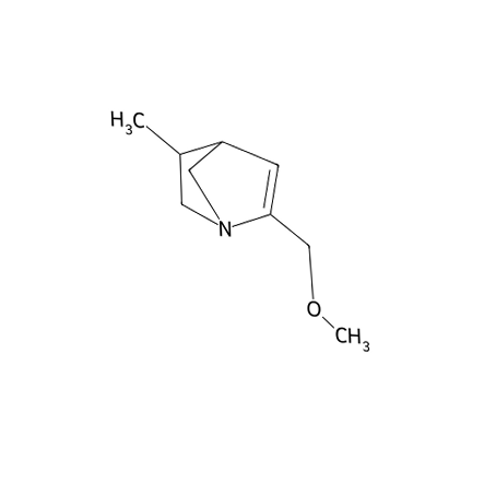 COCC1=CC2CN1CC2C